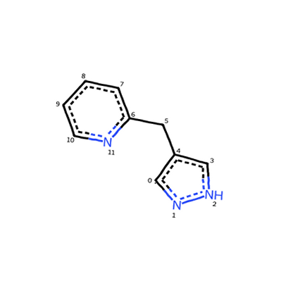 [c]1n[nH]cc1Cc1ccccn1